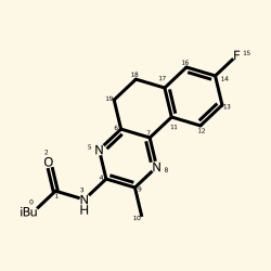 CCC(C)C(=O)Nc1nc2c(nc1C)-c1ccc(F)cc1CC2